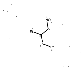 CCSC(CC)C[N+](=O)[O-]